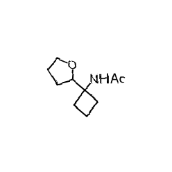 CC(=O)NC1(C2CCCO2)CCC1